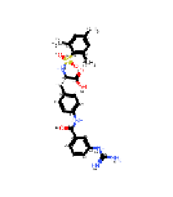 Cc1cc(C)c(S(=O)(=O)N[C@@H](Cc2ccc(NC(=O)c3cccc(NC(=N)N)c3)cc2)C(=O)O)c(C)c1